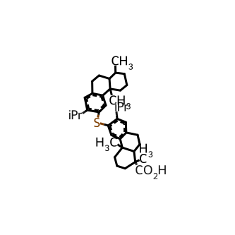 CC(C)c1cc2c(cc1Sc1cc3c(cc1C(C)C)CCC1C(C)(C(=O)O)CCCC31C)C1(C)CCCC(C)C1CC2